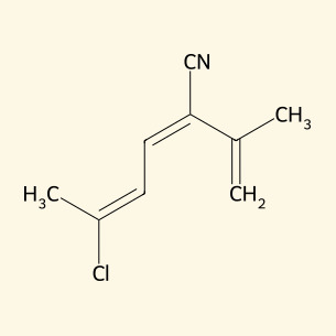 C=C(C)/C(C#N)=C\C=C(/C)Cl